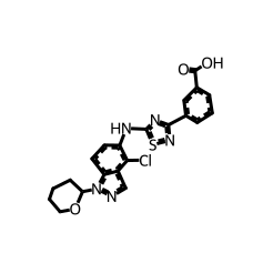 O=C(O)c1cccc(-c2nsc(Nc3ccc4c(cnn4C4CCCCO4)c3Cl)n2)c1